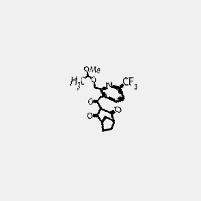 COC(C)OCc1nc(C(F)(F)F)ccc1C(=O)C1C(=O)C2CCC(C2)C1=O